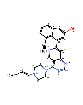 C#Cc1cccc2cc(O)cc(-c3ncc4c(N5CCN(C=CC=O)CC5)ncnc4c3F)c12